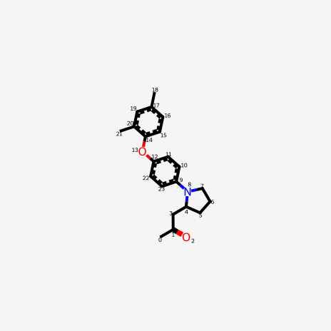 CC(=O)CC1CCCN1c1ccc(Oc2ccc(C)cc2C)cc1